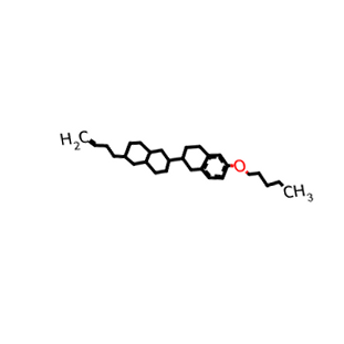 C=CCCC1CCC2CC(C3CCc4cc(OCCCCC)ccc4C3)CCC2C1